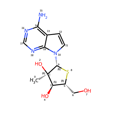 C[C@@]1(O)[C@H](O)[C@@H](CO)S[C@H]1n1ccc2c(N)ncnc21